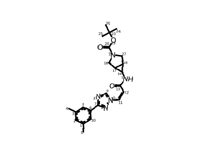 Cc1cc(C)cc(-c2ncn(/C=C\C(=O)NC3C4CN(C(=O)OC(C)(C)C)CC43)n2)c1